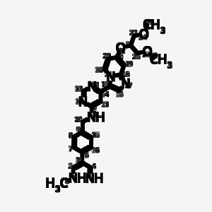 CN/C=C(\C=N)c1ccc(CNc2cc(-c3cnc4cc(OC(COC)COC)ccn34)ncn2)cc1